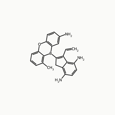 C=CC1=C(B2c3cc(N)ccc3Oc3cccc(C)c32)Cc2c(N)ccc(N)c21